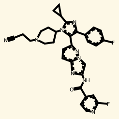 N#CCCN1CCC(n2c(C3CC3)nc(-c3ccc(F)cc3)c2-c2ccc3nc(NC(=O)c4ccnc(F)c4)cn3n2)CC1